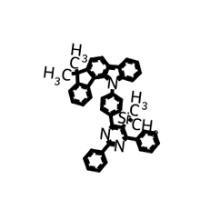 CC1(C)c2ccccc2-c2c1ccc1c3ccccc3n(-c3ccc4c(c3)[Si](C)(C)c3c(-c5ccccc5)nc(-c5ccccc5)nc3-4)c21